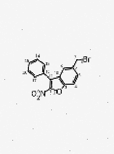 O=[N+]([O-])c1oc2ccc(CBr)cc2c1-c1ccccc1